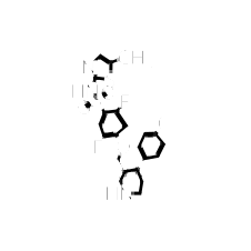 Cc1cnc(NS(=O)(=O)c2cc(F)c(OC[C@@H]3CNCC[C@H]3c3ccc(Cl)cc3)cc2F)s1